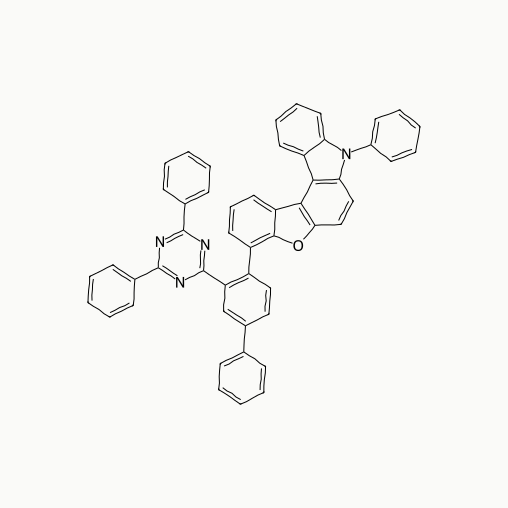 c1ccc(-c2ccc(-c3cccc4c3oc3ccc5c(c6ccccc6n5-c5ccccc5)c34)c(-c3nc(-c4ccccc4)nc(-c4ccccc4)n3)c2)cc1